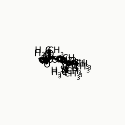 C[n+]1c2ccc(OCC(ON3C(=O)c4ccccc4C3=O)C(=O)OC(C)(C)C)cc2cn1[C@@H]1CN(C(=O)OC(C)(C)C)C[C@@H]1O[Si](C)(C)C(C)(C)C